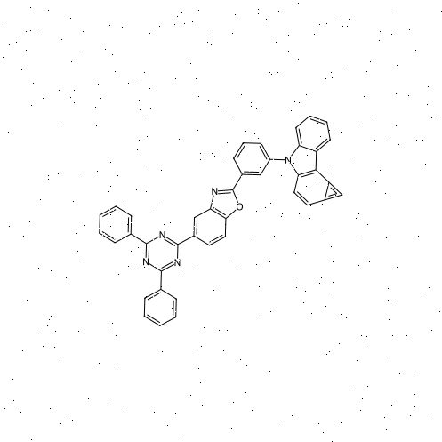 C1=c2ccc3c(c2=1)c1ccccc1n3-c1cccc(-c2nc3cc(-c4nc(-c5ccccc5)nc(-c5ccccc5)n4)ccc3o2)c1